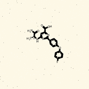 C[C@H](Nc1cc(C(=O)O)nc(-c2ccc(Oc3ccc(F)cc3)cc2)n1)C(N)=O